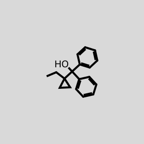 CCC1(C(O)(c2ccccc2)c2ccccc2)CC1